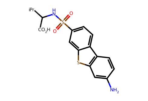 CC(C)C(NS(=O)(=O)c1ccc2c(c1)sc1cc(N)ccc12)C(=O)O